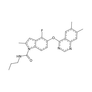 CCCNC(=O)n1c(C)cc2c(F)c(Oc3ncnc4cc(C)c(C)cc34)ccc21